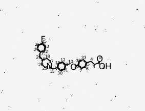 O=C(O)CCc1ccc(OCc2ccc(CN3CCC(Cc4ccc(F)cc4)CC3)cc2)cc1